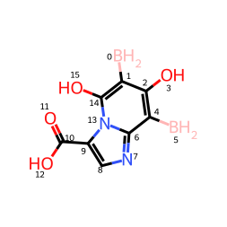 Bc1c(O)c(B)c2ncc(C(=O)O)n2c1O